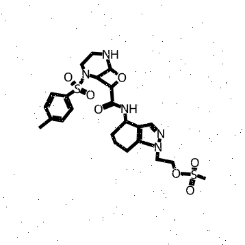 Cc1ccc(S(=O)(=O)N2CCNC3OC(C(=O)NC4CCCc5c4cnn5CCOS(C)(=O)=O)C32)cc1